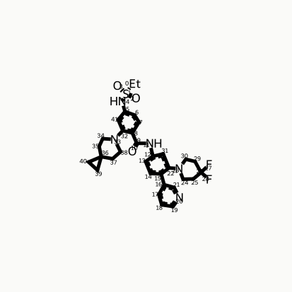 CCS(=O)(=O)Nc1ccc(C(=O)Nc2ccc(-c3cccnc3)c(N3CCC(F)(F)CC3)c2)c(N2CCC3(CC2)CC3)c1